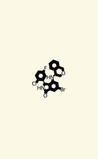 O=C1N[C@@H](c2cc(F)ccc2Cl)c2c(N[C@@H]3COCc4ccccc43)cc(Br)cc21